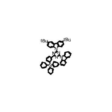 CC(C)(C)c1ccc2c(c1)c1cc(C(C)(C)C)ccc1n2-c1nc(-c2cccc([Si](c3ccccc3)(c3ccccc3)c3ccccc3)c2)nc(-n2c3ccccc3c3ccccc32)n1